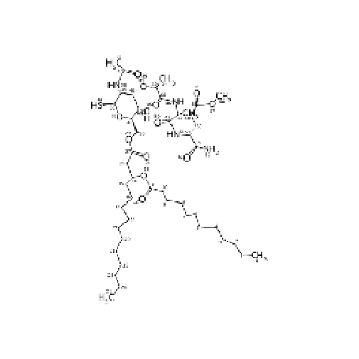 CCCCCCCCCCCC(=O)O[C@H](CCCCCCCCCCC)CC(=O)OC[C@H]1O[C@@H](S)[C@H](NC(C)=O)[C@H](OC(C)C(=O)N[C@@H](C)C(=O)N[C@H](CCC(=O)OC)C(N)=O)[C@@H]1O